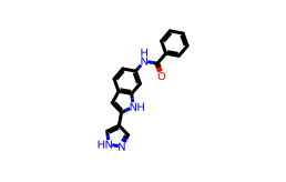 O=C(Nc1ccc2cc(-c3cn[nH]c3)[nH]c2c1)c1ccccc1